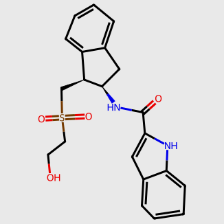 O=C(N[C@@H]1Cc2ccccc2[C@@H]1CS(=O)(=O)CCO)c1cc2ccccc2[nH]1